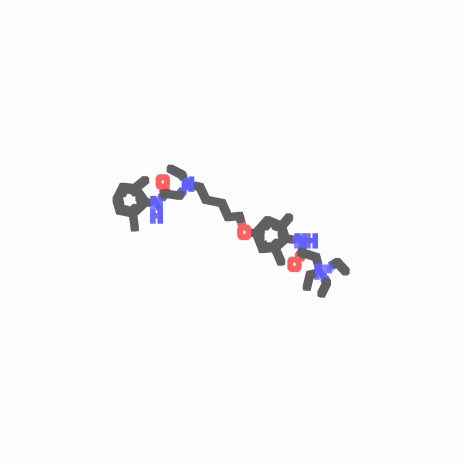 CCN(CCCCCOc1cc(C)c(NC(=O)C[N+](CC)(CC)CC)c(C)c1)CC(=O)Nc1c(C)cccc1C